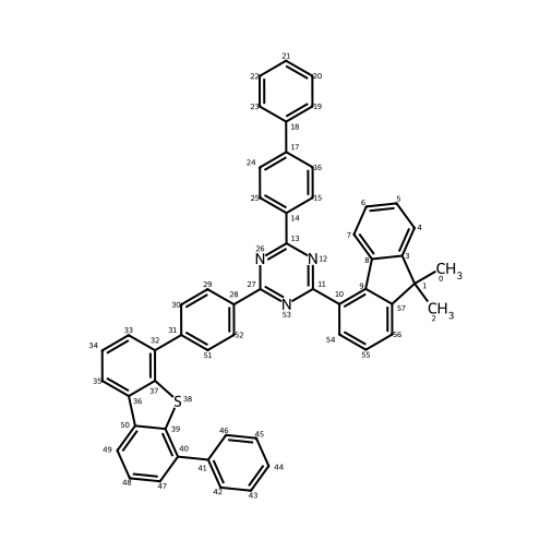 CC1(C)c2ccccc2-c2c(-c3nc(-c4ccc(-c5ccccc5)cc4)nc(-c4ccc(-c5cccc6c5sc5c(-c7ccccc7)cccc56)cc4)n3)cccc21